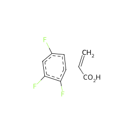 C=CC(=O)O.Fc1ccc(F)c(F)c1